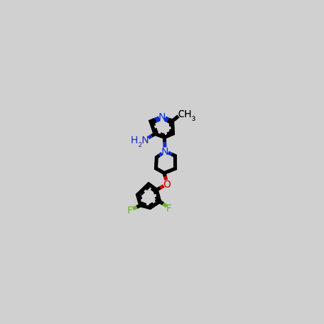 Cc1cc(N2CCC(Oc3ccc(F)cc3F)CC2)c(N)cn1